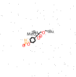 COC1(c2ccc(O[PH2]=O)cc2)OOC1(COCC(C)(C)C)C(C)(C)C